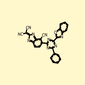 N#CC(C#N)=C1N=c2ccc(-c3nc(-c4ccccc4)nc(-c4nc5ccccc5o4)n3)c(C#N)c2=N1